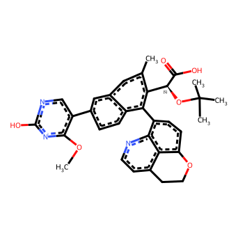 COc1nc(O)ncc1-c1ccc2c(-c3ccc4c5c(ccnc35)CCO4)c([C@H](OC(C)(C)C)C(=O)O)c(C)cc2c1